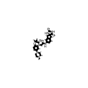 CN1CCN(c2ccc3c(c2)N(CC(=O)Nc2ccc4c(c2)CC2(C4)NC(=O)NC2=O)C(=O)C(C)(C)O3)CC1